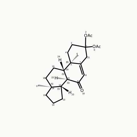 CC(=O)OC1(OC(C)=O)CC[C@@]2(C)C(=CC(=O)[C@H]3[C@@H]4CCC[C@@]4(C)CC[C@@H]32)C1